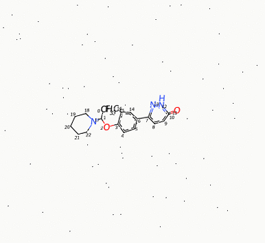 CC(Oc1ccc(-c2ccc(=O)[nH]n2)cc1C(F)(F)F)N1CCCCC1